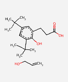 C=CCO.CC(C)(C)c1cc(CCC(=O)O)c(O)c(C(C)(C)C)c1